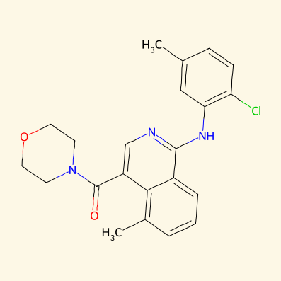 Cc1ccc(Cl)c(Nc2ncc(C(=O)N3CCOCC3)c3c(C)cccc23)c1